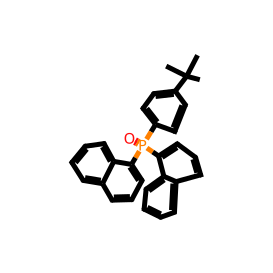 CC(C)(C)c1ccc(P(=O)(c2cccc3ccccc23)c2cccc3ccccc23)cc1